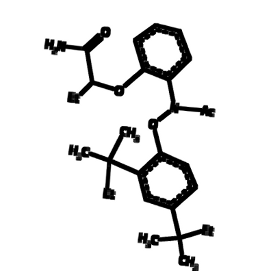 CCC(Oc1ccccc1N(Oc1ccc(C(C)(C)CC)cc1C(C)(C)CC)C(C)=O)C(N)=O